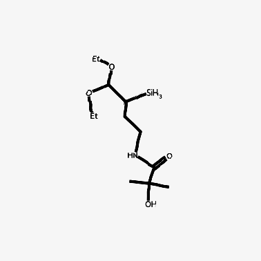 CCOC(OCC)C([SiH3])CCNC(=O)C(C)(C)O